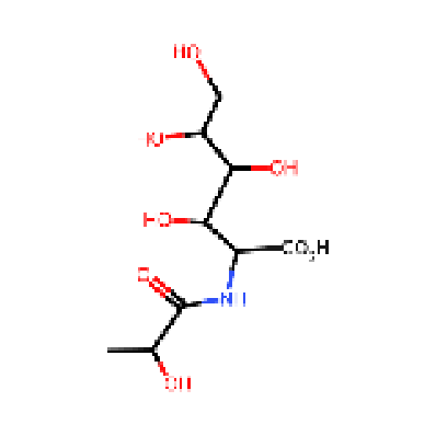 CC(O)C(=O)NC(C(=O)O)C(O)C(O)C(O)CO